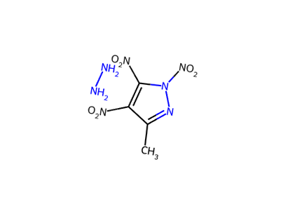 Cc1nn([N+](=O)[O-])c([N+](=O)[O-])c1[N+](=O)[O-].NN